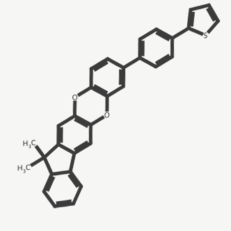 CC1(C)c2ccccc2-c2cc3c(cc21)Oc1ccc(-c2ccc(-c4cccs4)cc2)cc1O3